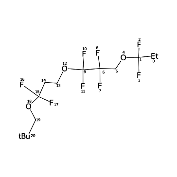 CCC(F)(F)OCC(F)(F)C(F)(F)OCCC(F)(F)OCC(C)(C)C